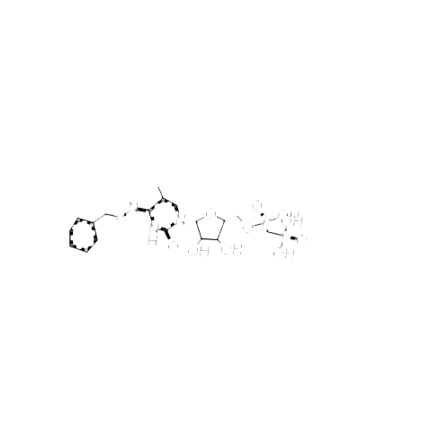 Cc1cn([C@@H]2O[C@H](COP(=O)(O)CP(=O)(O)O)C(O)C2O)c(=O)[nH]/c1=N\OCc1ccccc1